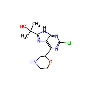 CC(C)(O)c1nc2c(C3CNCCO3)nc(Cl)nc2[nH]1